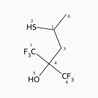 CC(S)CC(O)(C(F)(F)F)C(F)(F)F